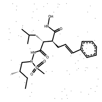 CC[C@H](C)CN(NC(=O)[C@H](CC(C)C)[C@H](CC=Cc1ccccc1)C(=O)NO)S(C)(=O)=O